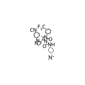 Cc1c(-c2ccnn2-c2ccc(C#N)cc2)n(C(=O)N[C@H]2CC[C@@H](C[N+](C)(C)C)CC2)c(=O)n1-c1cccc(C(F)(F)F)c1